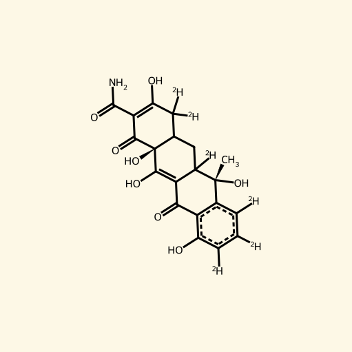 [2H]c1c([2H])c(O)c2c(c1[2H])[C@@](C)(O)C1([2H])CC3C([2H])([2H])C(O)=C(C(N)=O)C(=O)[C@@]3(O)C(O)=C1C2=O